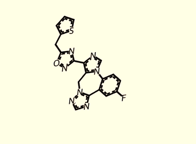 Fc1ccc2c(c1)-c1ncnn1Cc1c(-c3noc(Cc4cccs4)n3)ncn1-2